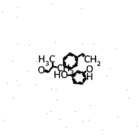 C=Cc1ccccc1.CC(C)C=O.Oc1cccc(O)c1